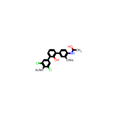 COc1cc(-c2cccc(-c3cc(Cl)c(NC(C)=O)c(Cl)c3)c2O)ccc1NC(C)O